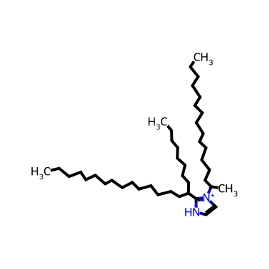 CCCCCCCCCCCCCCCC(CCCCCCCC)c1[nH]cc[n+]1C(C)CCCCCCCCCCCCCC